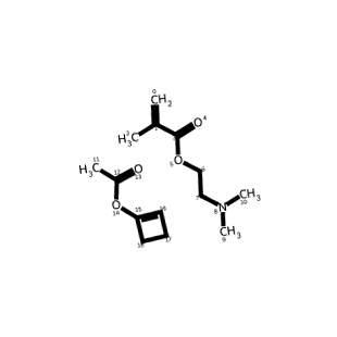 C=C(C)C(=O)OCCN(C)C.CC(=O)OC1=CCC1